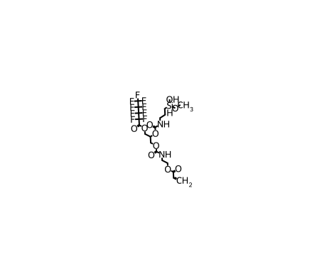 C=CC(=O)OCCNC(=O)OCC(COC(=O)C(F)(F)C(F)(F)C(F)(F)C(F)(F)F)OC(=O)NCCC[SiH](O)OC